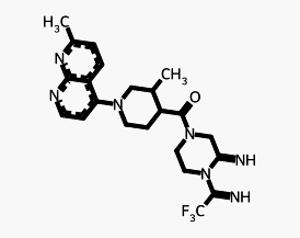 Cc1ccc2c(N3CCC(C(=O)N4CCN(C(=N)C(F)(F)F)C(=N)C4)C(C)C3)ccnc2n1